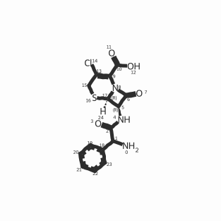 NC(C(=O)N[C@@H]1C(=O)N2C(C(=O)O)=C(Cl)CS[C@H]12)c1ccccc1